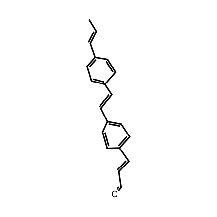 CC=Cc1ccc(C=Cc2ccc(C=CC=O)cc2)cc1